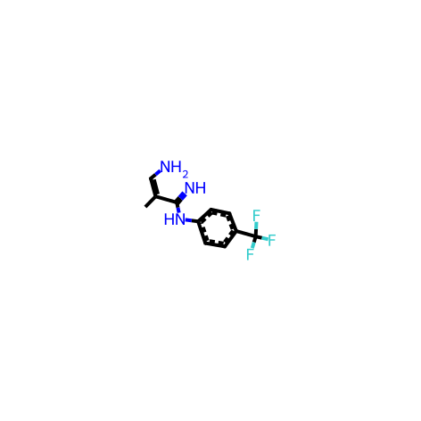 C/C(=C/N)C(=N)Nc1ccc(C(F)(F)F)cc1